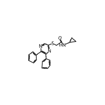 O=C(CSc1cnc(-c2ccccc2)c(-c2ccccc2)n1)NC1CC1